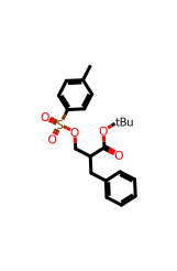 Cc1ccc(S(=O)(=O)OCC(Cc2ccccc2)C(=O)OC(C)(C)C)cc1